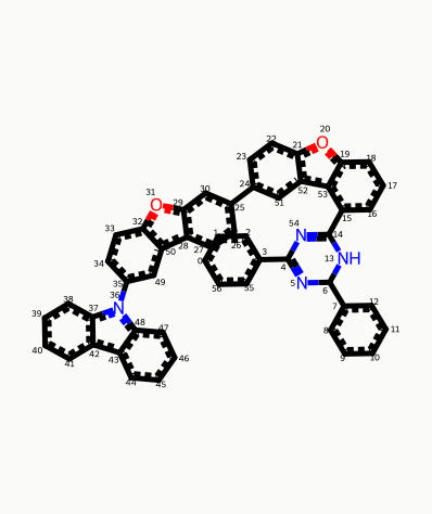 c1ccc(C2=NC(c3ccccc3)NC(c3cccc4oc5ccc(-c6ccc7c(c6)oc6ccc(-n8c9ccccc9c9ccccc98)cc67)cc5c34)=N2)cc1